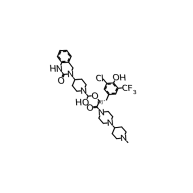 CN1CCC(N2CCN(C(=O)[C@@H](Cc3cc(Cl)c(O)c(C(F)(F)F)c3)OC(O)N3CCC(N4Cc5ccccc5NC4=O)CC3)CC2)CC1